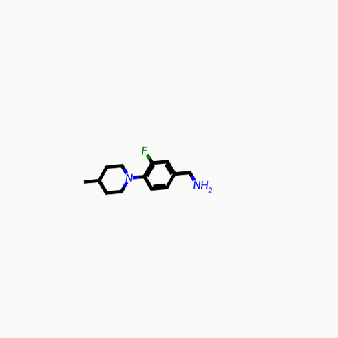 CC1CCN(c2ccc(CN)cc2F)CC1